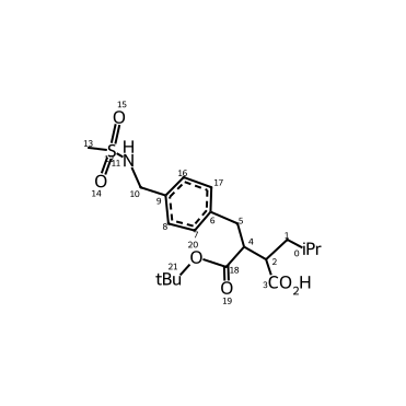 CC(C)CC(C(=O)O)C(Cc1ccc(CNS(C)(=O)=O)cc1)C(=O)OC(C)(C)C